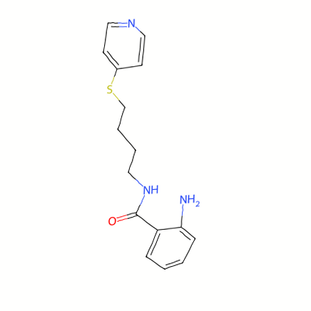 Nc1ccccc1C(=O)NCCCCSc1ccncc1